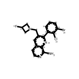 Nc1nccc2cc(CN3CC(F)C3)c(-c3cccc(Br)c3Cl)nc12